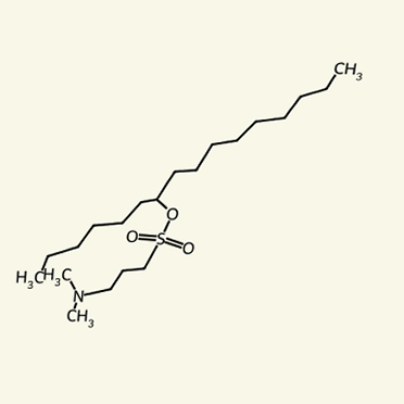 CCCCCCCCCC(CCCCCC)OS(=O)(=O)CCCN(C)C